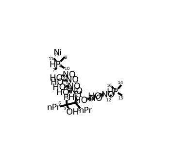 CCCC(CC)C(O)(P)CCC.C[PH](C)(C)C.C[PH](C)(C)C.O=NO.O=NO.O=NO.O=NO.O=NO.O=NO.[Ni]